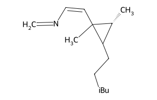 C=N/C=C\C1(C)C(CCC(C)CC)[C@H]1C